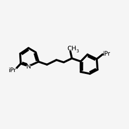 CC(C)c1cccc(C(C)CCCc2cccc(C(C)C)n2)c1